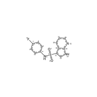 O=S(=O)(Nc1ccc(F)cc1)c1c[nH]c2ncccc12